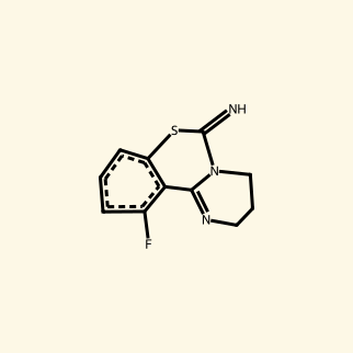 N=C1Sc2cccc(F)c2C2=NCCCN12